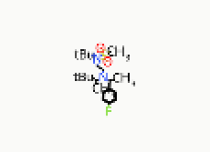 CC(c1ccc(F)cc1)N(CCN(C(C)(C)C)S(C)(=O)=O)C(C)C(C)(C)C